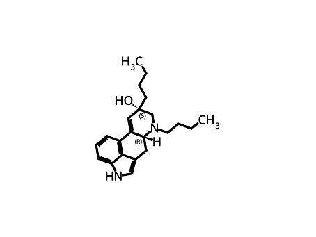 CCCCN1C[C@](O)(CCCC)C=C2c3cccc4[nH]cc(c34)C[C@H]21